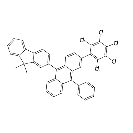 CC1(C)c2ccccc2-c2ccc(-c3c4ccccc4c(-c4ccccc4)c4cc(-c5c(Cl)c(Cl)c(Cl)c(Cl)c5Cl)ccc34)cc21